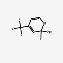 NC1(F)C=C(C(F)(F)F)C=CN1